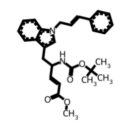 COC(=O)C=CC(Cc1cn(CC=Cc2ccccc2)c2ccccc12)NC(=O)OC(C)(C)C